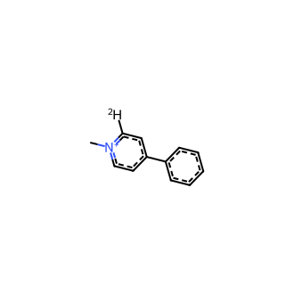 [2H]c1cc(-c2ccccc2)cc[n+]1C